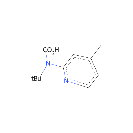 Cc1ccnc(N(C(=O)O)C(C)(C)C)c1